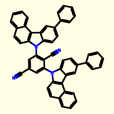 N#Cc1cc(-n2c3ccc(-c4ccccc4)cc3c3c4ccccc4ccc32)c(C#N)c(-n2c3ccc(-c4ccccc4)cc3c3c4ccccc4ccc32)c1